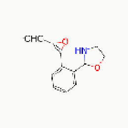 O=[C]C1=C(c2ccccc2C2NCCO2)O1